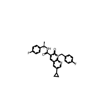 C[C@@H](NC(=O)c1cc2cc(C3CC3)cnc2n(Cc2ccc(F)cc2)c1=O)c1ccc(F)cc1